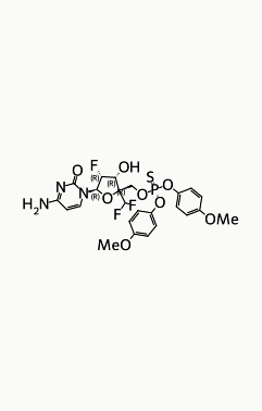 COc1ccc(OP(=S)(OC[C@@]2(C(F)F)O[C@@H](n3ccc(N)nc3=O)[C@H](F)[C@@H]2O)Oc2ccc(OC)cc2)cc1